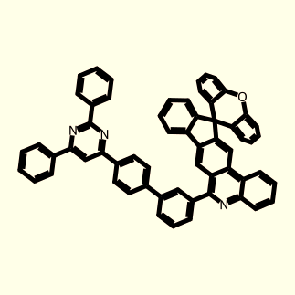 c1ccc(-c2cc(-c3ccc(-c4cccc(-c5nc6ccccc6c6cc7c(cc56)-c5ccccc5C75c6ccccc6Oc6ccccc65)c4)cc3)nc(-c3ccccc3)n2)cc1